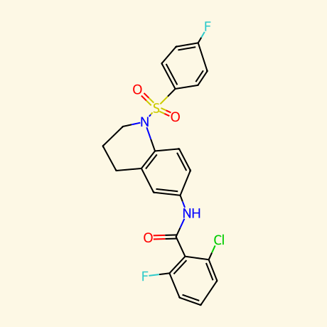 O=C(Nc1ccc2c(c1)CCCN2S(=O)(=O)c1ccc(F)cc1)c1c(F)cccc1Cl